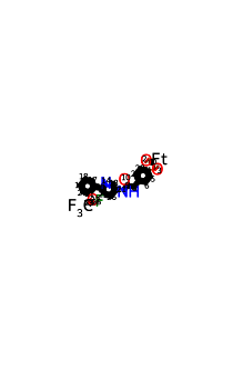 CCS(=O)(=O)c1ccc(CC(=O)Nc2cnc(-c3ccccc3OC(F)(F)F)c(F)c2)cc1